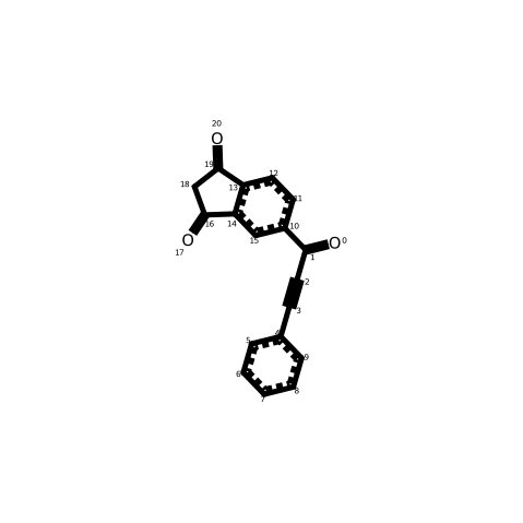 O=C(C#Cc1ccccc1)c1ccc2c(c1)C(=O)CC2=O